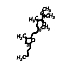 C=C1C[C@H](CCCC)OC1CC[C@@H](C)C[C@@H](C)C(=O)N(C)OC